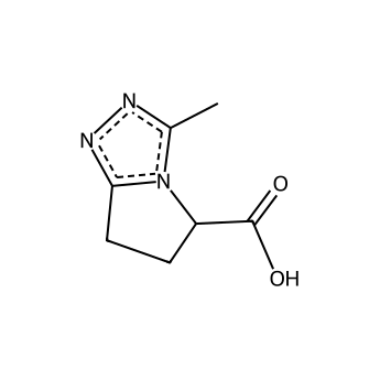 Cc1nnc2n1C(C(=O)O)CC2